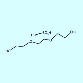 CC(C)COCCOCCOCCO.O=S(=O)(O)O